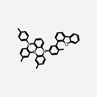 Cc1ccc(N2c3ccc(C)cc3B3c4cc(C)ccc4N(c4ccc(C)c(-c5cccc6c5oc5ccccc56)c4)c4cccc2c43)cc1